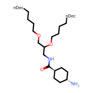 CCCCCCCCCCCCCCOCC(CNC(=O)[C@H]1CC[C@H](N)CC1)OCCCCCCCCCCCCCC